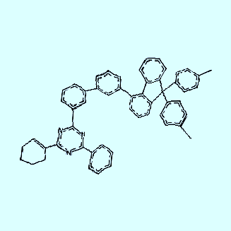 Cc1ccc(C2(c3ccc(C)cc3)c3ccccc3-c3c(-c4cccc(-c5cccc(-c6nc(C7=CCCCC7)nc(-c7ccccc7)n6)c5)c4)cccc32)cc1